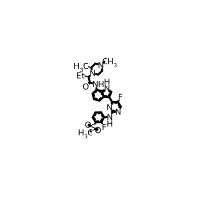 CC[C@H](C(=O)Nc1cccc2c(-c3nc(Nc4cccc(S(C)(=O)=O)c4F)ncc3F)c[nH]c12)N1CCN(C)C[C@@H]1C